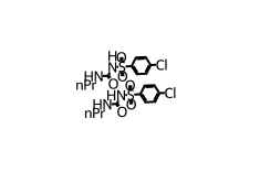 CCCNC(=O)NS(=O)(=O)c1ccc(Cl)cc1.CCCNC(=O)NS(=O)(=O)c1ccc(Cl)cc1